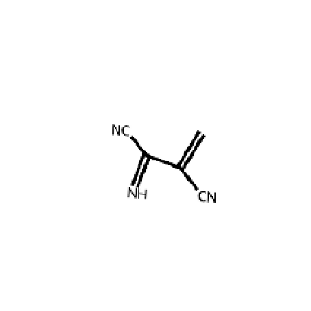 C=C(C#N)C(=N)C#N